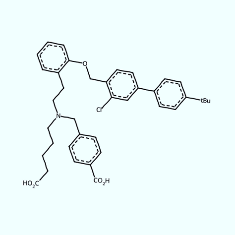 CC(C)(C)c1ccc(-c2ccc(COc3ccccc3CCN(CCCCC(=O)O)Cc3ccc(C(=O)O)cc3)c(Cl)c2)cc1